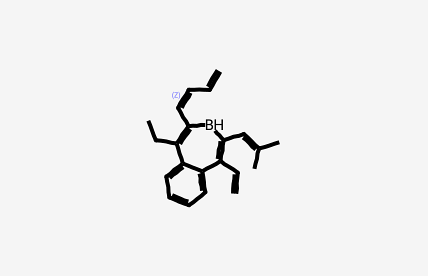 C=C/C=C\C1=C(CC)c2ccccc2C(C=C)=C(C=C(C)C)B1